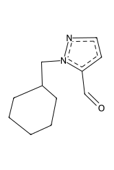 O=Cc1ccnn1CC1CCCCC1